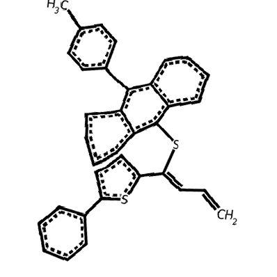 C=C/C=C(\Sc1c2ccccc2c(-c2ccc(C)cc2)c2ccccc12)c1ccc(-c2ccccc2)s1